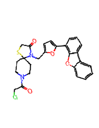 O=C(CCl)N1CCC2(CC1)SCC(=O)N2Cc1ccc(-c2cccc3c2oc2ccccc23)o1